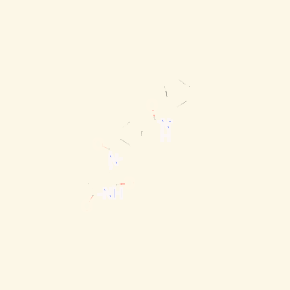 O=C1CCC(N2Cc3cc(C(=O)N[C@@H](c4ccccc4)C4CCCC4)ccc3C2=O)C(=O)N1